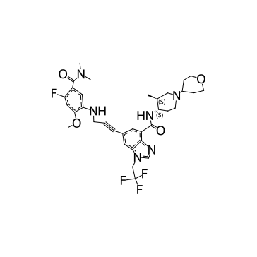 COc1cc(F)c(C(=O)N(C)C)cc1NCC#Cc1cc(C(=O)N[C@H]2CCN(C3CCOCC3)C[C@@H]2C)c2ncn(CC(F)(F)F)c2c1